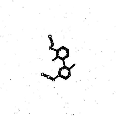 Cc1ccc(N=C=O)cc1-c1cccc(N=C=O)c1C